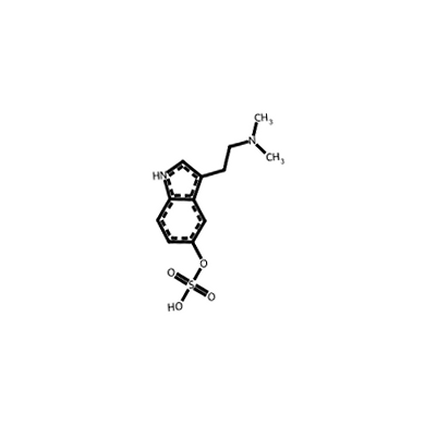 CN(C)CCc1c[nH]c2ccc(OS(=O)(=O)O)cc12